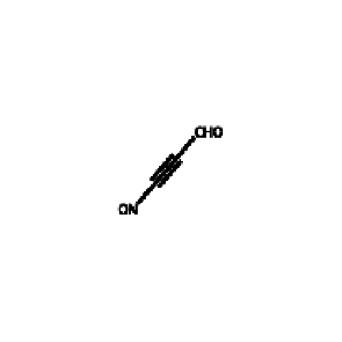 O=CC#CN=O